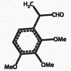 COc1ccc(C(C)C=O)c(OC)c1OC